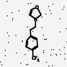 FC(F)(F)c1ccc(CCN2C=COC2)cc1